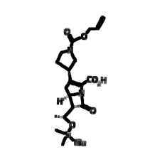 C=CCOC(=O)N1CC[C@H](C2=C(C(=O)O)N3C(=O)[C@H]([C@@H](C)O[Si](C)(C)C(C)(C)C)[C@H]3C2)C1